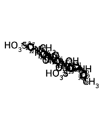 COc1cc(N=Nc2ccc(S(=O)(=O)O)cc2)c(C)cc1N=Nc1cc(OC)c(N=Nc2c(S(=O)(=O)O)cc3cc(Nc4ccc(C)cc4)ccc3c2O)cc1OC